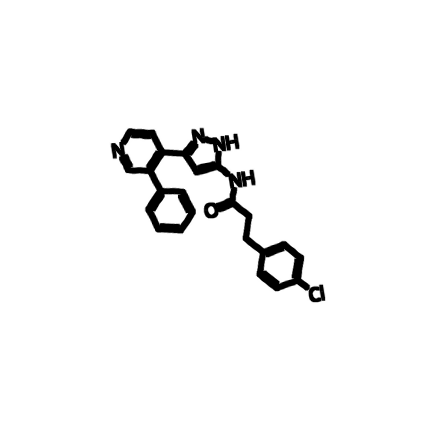 O=C(CCc1ccc(Cl)cc1)Nc1cc(-c2ccncc2-c2ccccc2)n[nH]1